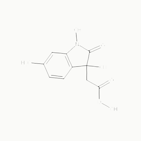 COC(=O)CC1(C)C(=O)N(C)c2cc(C)ccc21